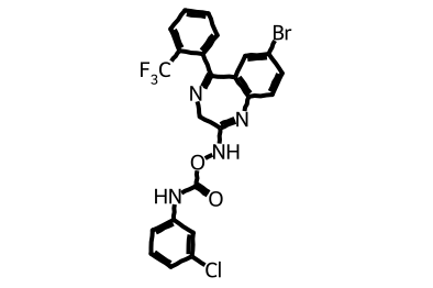 O=C(Nc1cccc(Cl)c1)ONC1=Nc2ccc(Br)cc2C(c2ccccc2C(F)(F)F)=NC1